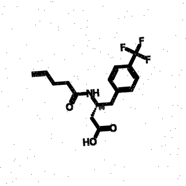 C=CCCC(=O)N[C@@H](CC(=O)O)Cc1ccc(C(F)(F)F)cc1